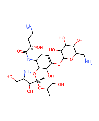 CC(CO)O[C@@](C)(OC1C(NC(=O)[C@@H](O)CCN)CC=C(OC2OC(CN)C(O)C(O)C2O)C1O)C(O)C(N)CO